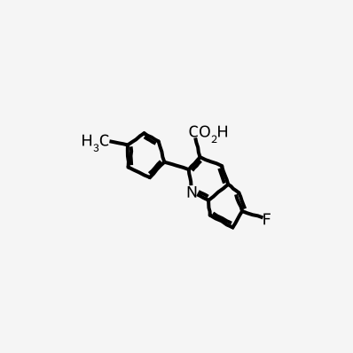 Cc1ccc(-c2nc3ccc(F)cc3cc2C(=O)O)cc1